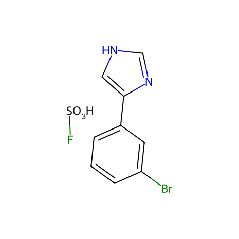 Brc1cccc(-c2c[nH]cn2)c1.O=S(=O)(O)F